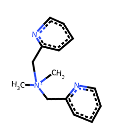 C[N+](C)(Cc1ccccn1)Cc1ccccn1